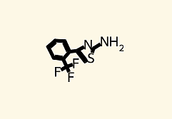 Nc1nc(-c2ccccc2C(F)(F)F)cs1